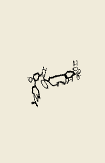 COc1ccc(NC(=O)C2CCc3cc(O)c([N+](=O)[O-])cc3NC2)cc1C1CCN(C(C)C)CC1